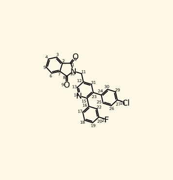 O=C1c2ccccc2C(=O)N1Cc1cnc(-c2cccc(F)c2)c(-c2ccc(Cl)cc2)c1